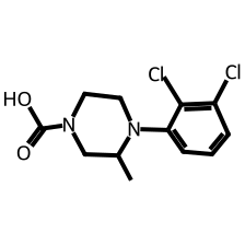 CC1CN(C(=O)O)CCN1c1cccc(Cl)c1Cl